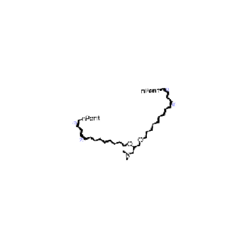 CCCCC/C=C\C/C=C\CCCCCCCCOCC(CN(C)C)OCCCCCCCC/C=C\C/C=C\CCCCC